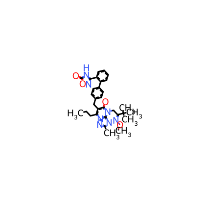 CCCc1c(Cc2ccc(-c3ccccc3-c3noc(=O)[nH]3)cc2)c(=O)n(CC(=NOC)C(C)(C)C)c2nc(C)nn12